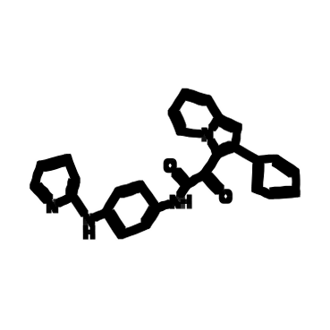 O=C(Nc1ccc(Nc2ccccn2)cc1)C(=O)c1c(-c2ccccc2)cc2ccccn12